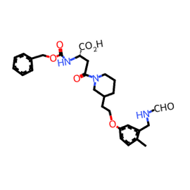 Cc1ccc(OCCC2CCCN(C(=O)C[C@H](NC(=O)OCc3ccccc3)C(=O)O)C2)cc1CNC=O